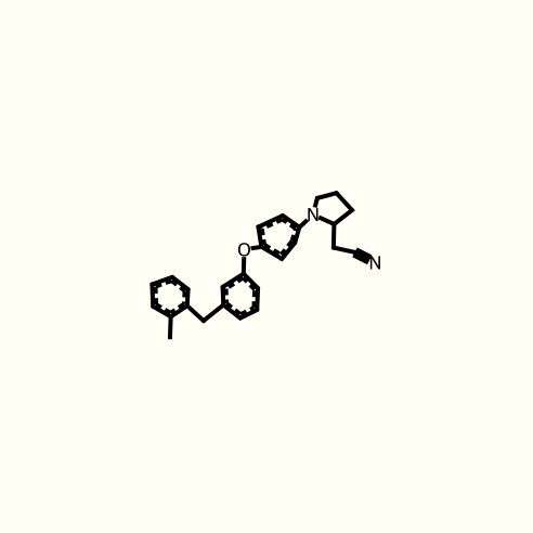 Cc1ccccc1Cc1cccc(Oc2ccc(N3CCCC3CC#N)cc2)c1